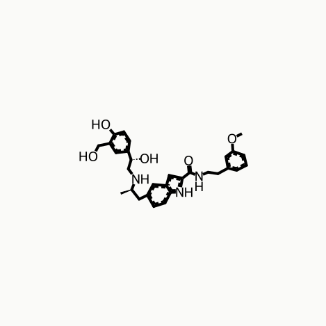 COc1cccc(CCNC(=O)c2cc3cc(C[C@@H](C)NC[C@@H](O)c4ccc(O)c(CO)c4)ccc3[nH]2)c1